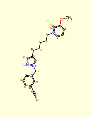 COc1cccn(CCCCCc2cn(Cc3cccc(C#N)c3)nn2)c1=S